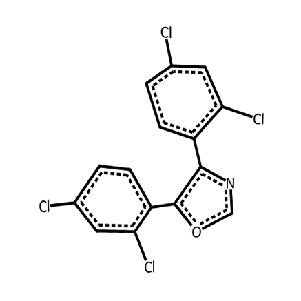 Clc1ccc(-c2ncoc2-c2ccc(Cl)cc2Cl)c(Cl)c1